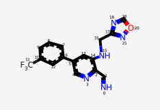 N=Cc1ncc(-c2cccc(C(F)(F)F)c2)cc1NCc1ncon1